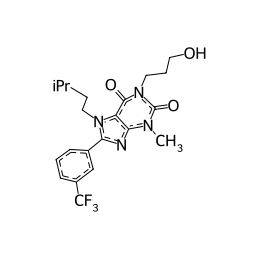 CC(C)CCn1c(-c2cccc(C(F)(F)F)c2)nc2c1c(=O)n(CCCO)c(=O)n2C